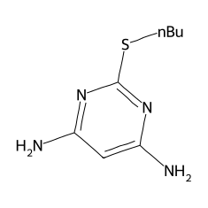 CCCCSc1nc(N)cc(N)n1